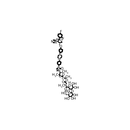 CC[C@@H]([C@H](C)OC(=O)OC(C)OC(=O)CN(C)C(=O)[C@H](O)[C@@H](O)[C@H](O[C@@H]1O[C@H](CO)[C@H](O)[C@H](O)[C@H]1O)[C@H](O)CO)n1ncn(-c2ccc(N3CCN(c4ccc(OC[C@@H]5CO[C@@](Cn6cncn6)(c6ccc(F)cc6F)C5)cc4)CC3)cc2)c1=O